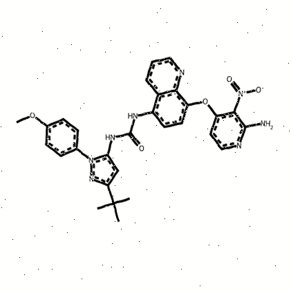 COc1ccc(-n2nc(C(C)(C)C)cc2NC(=O)Nc2ccc(Oc3ccnc(N)c3[N+](=O)[O-])c3ncccc23)cc1